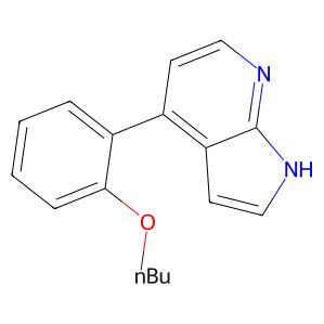 CCCCOc1ccccc1-c1ccnc2[nH]ccc12